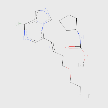 CCOC(=O)CCOCC/C=C/c1cnc(Cl)c2cnc([C@@H]3CC[C@@H](NC(=O)OC(C)(C)C)C3)n12